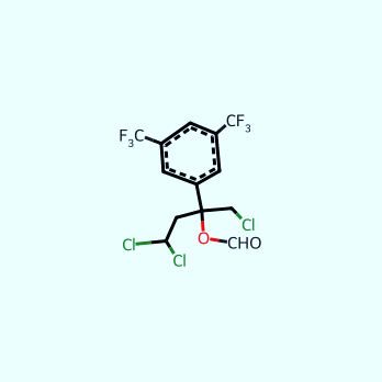 O=COC(CCl)(CC(Cl)Cl)c1cc(C(F)(F)F)cc(C(F)(F)F)c1